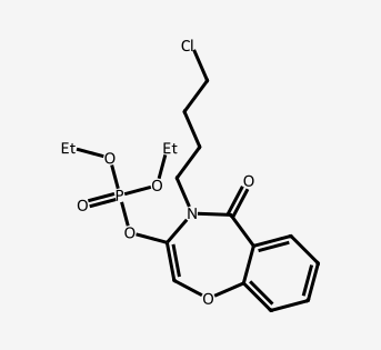 CCOP(=O)(OCC)OC1=COc2ccccc2C(=O)N1CCCCCl